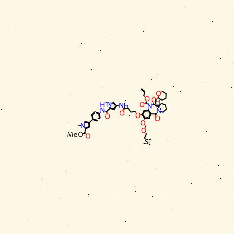 C=CCOC(=O)N1c2cc(OCCCC(=O)Nc3cc(C(=O)Nc4ccc(-c5cc(C(=O)OC)n(C)c5)cc4)n(C)c3)c(OCOCC[Si](C)(C)C)cc2C(=O)N2CCCC[C@H]2C1OC1CCCCO1